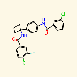 O=C(Nc1ccc(C2(NC(=O)c3ccc(Cl)c(F)c3)CCC2)cc1)c1cccc(Cl)c1